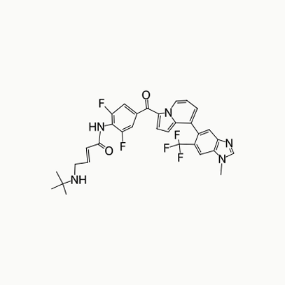 Cn1cnc2cc(-c3cccn4c(C(=O)c5cc(F)c(NC(=O)/C=C/CNC(C)(C)C)c(F)c5)ccc34)c(C(F)(F)F)cc21